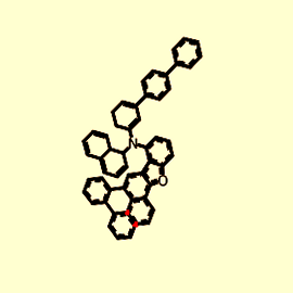 C1=CC2=CC=CC(N(C3=CC(c4ccc(-c5ccccc5)cc4)=CCC3)c3cccc4oc5c6ccccc6c(-c6ccccc6-c6ccccc6)cc5c34)C2C=C1